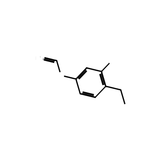 CCc1ccc(OC=N)cc1Cl